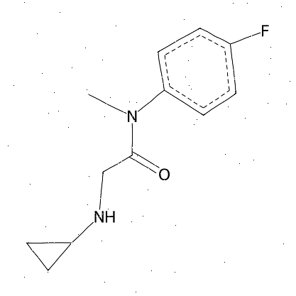 CN(C(=O)CNC1CC1)c1ccc(F)cc1